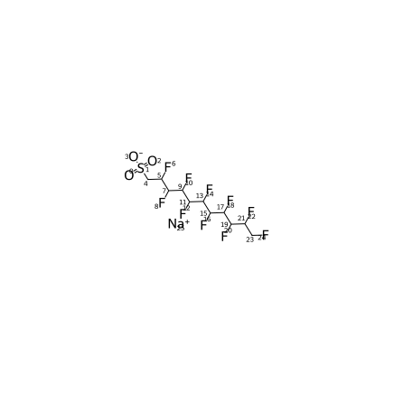 O=S(=O)([O-])CC(F)C(F)C(F)C(F)C(F)C(F)C(F)C(F)C(F)CF.[Na+]